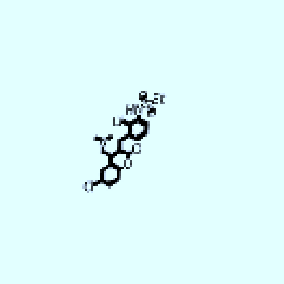 CCS(=O)(=O)Nc1cccc(Cc2c(CN(C)C)c3cc(Cl)[c]cc3oc2=O)c1Cl